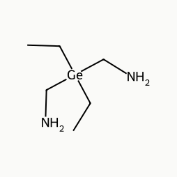 C[CH2][Ge]([CH2]C)([CH2]N)[CH2]N